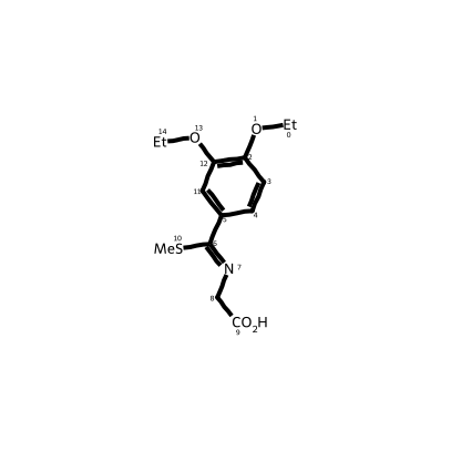 CCOc1ccc(C(=NCC(=O)O)SC)cc1OCC